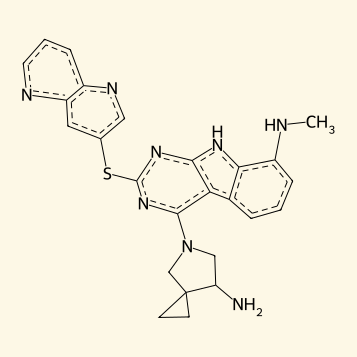 CNc1cccc2c1[nH]c1nc(Sc3cnc4cccnc4c3)nc(N3CC(N)C4(CC4)C3)c12